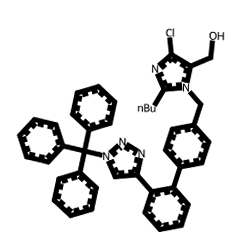 CCCCc1nc(Cl)c(CO)n1Cc1ccc(-c2ccccc2-c2cn(C(c3ccccc3)(c3ccccc3)c3ccccc3)nn2)cc1